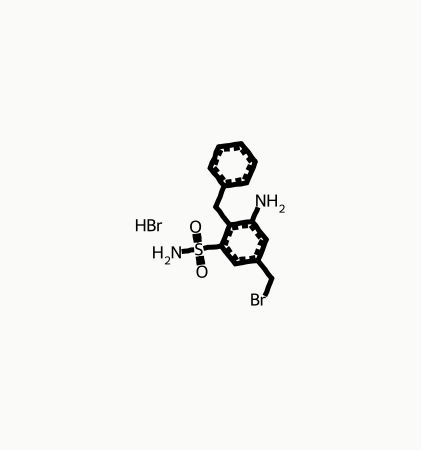 Br.Nc1cc(CBr)cc(S(N)(=O)=O)c1Cc1ccccc1